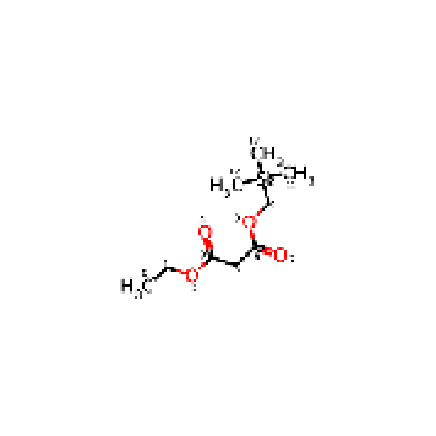 CCOC(=O)CC(=O)OC[Si](C)(C)C